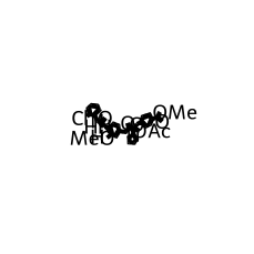 COC(=O)c1ccc(OC(OC(C)=O)(C(=O)Cc2ccc(NC(=O)Nc3ccccc3Cl)c(OC)c2)N2CCCC2)cc1